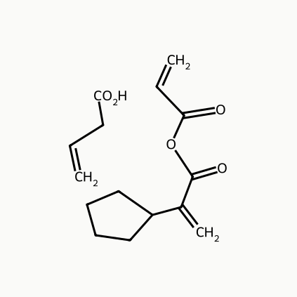 C=CC(=O)OC(=O)C(=C)C1CCCC1.C=CCC(=O)O